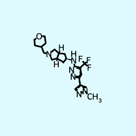 Cn1cc(-c2cc(C(F)(F)F)c(N[C@H]3C[C@@H]4CN(CC5CCOCC5)C[C@@H]4C3)nn2)cn1